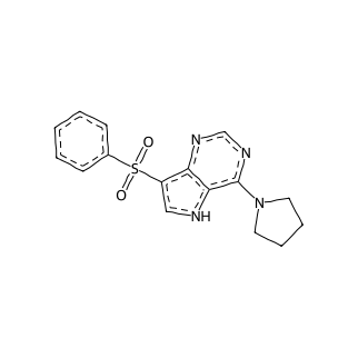 O=S(=O)(c1ccccc1)c1c[nH]c2c(N3CCCC3)ncnc12